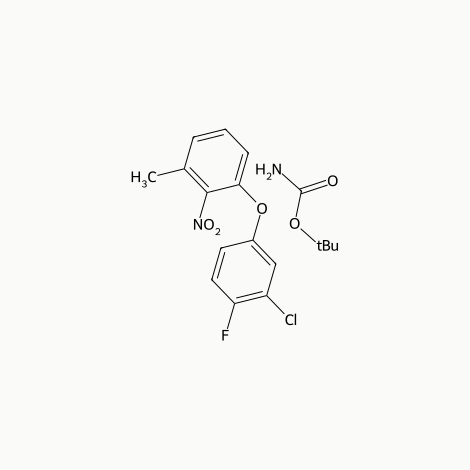 CC(C)(C)OC(N)=O.Cc1cccc(Oc2ccc(F)c(Cl)c2)c1[N+](=O)[O-]